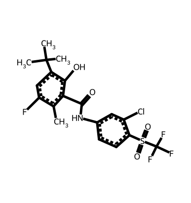 Cc1c(F)cc(C(C)(C)C)c(O)c1C(=O)Nc1ccc(S(=O)(=O)C(F)(F)F)c(Cl)c1